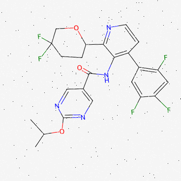 CC(C)Oc1ncc(C(=O)Nc2c(-c3cc(F)c(F)cc3F)ccnc2C2CCC(F)(F)CO2)cn1